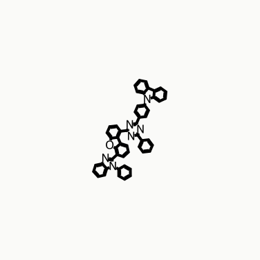 c1ccc(-c2nc(-c3ccc(-n4c5ccccc5c5ccccc54)cc3)nc(-c3cccc4oc5c(-c6nc7ccccc7n6-c6ccccc6)cccc5c34)n2)cc1